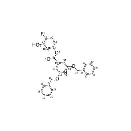 O=C(Oc1ccc(F)c(O)n1)c1cc(OCc2ccccc2)nc(OCc2ccccc2)c1